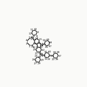 C=C1/C=C\C=C/N(c2ccccc2)c2ccc3c(c21)c1ccc(N(c2ccccc2)c2ccc(-c4ccccc4)cc2)cc1n3-c1ccccc1